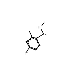 CC(C)N[C@@H](C)c1ccc(Cl)cc1Cl